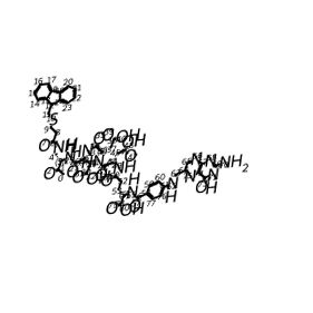 CC(=O)[C@H](CNC(=O)CCSCC1c2ccccc2-c2ccccc21)NC(=O)[C@H](CC(=O)O)NC(=O)[C@H](CC(=O)O)NC(=O)[C@H](CC(=O)O)NC(=O)CC[C@H](NC(=O)c1ccc(NCc2cnc3nc(N)[nH]c(=O)c3n2)cc1)C(=O)O